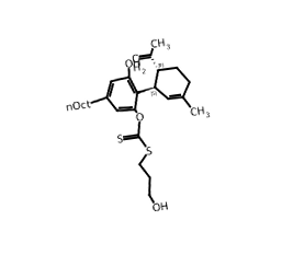 C=C(C)[C@@H]1CCC(C)=C[C@H]1c1c(O)cc(CCCCCCCC)cc1OC(=S)SCCCO